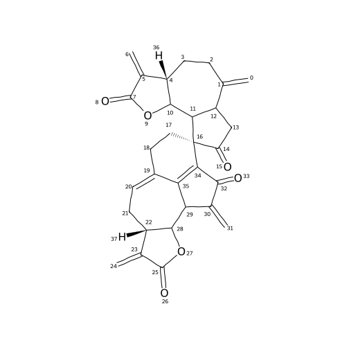 C=C1CC[C@H]2C(=C)C(=O)OC2C2C1CC(=O)[C@]21CCC2=CC[C@H]3C(=C)C(=O)OC3C3C(=C)C(=O)C1=C23